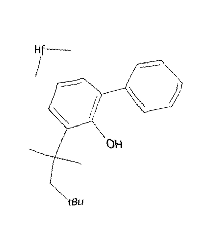 CC(C)(C)CC(C)(C)c1cccc(-c2ccccc2)c1O.[CH3][Hf][CH3]